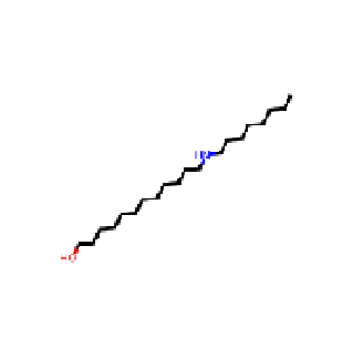 CCCCCCCCNCCCCCCCCCCCCO